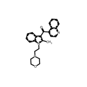 Cc1c(C(=O)c2ccnc3ccccc23)c2ccccc2n1CCN1CCOCC1